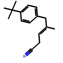 CC(=CCC#N)Cc1ccc(C(C)(C)C)cc1